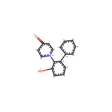 O=c1ccn(-c2c(O)cccc2-c2ccccc2)cc1